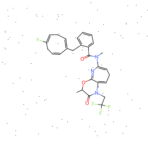 CC1OC2=NC(N(C)C(=O)c3ccccc3CC3=C/C/C=C(/F)C/C=C\3)=CCC=C2N(CC(F)(F)F)C1=O